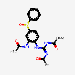 CCCCC(=O)Nc1cc([S+]([O-])c2ccccc2)ccc1NC(=NC(=O)CC)NC(=O)OC